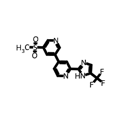 CS(=O)(=O)c1cncc(-c2ccnc(-c3ncc(C(F)(F)F)[nH]3)c2)c1